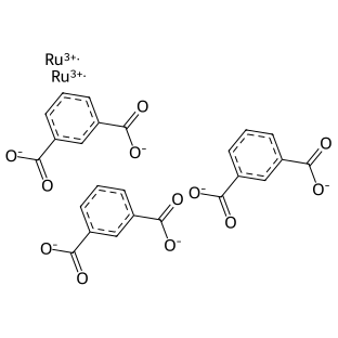 O=C([O-])c1cccc(C(=O)[O-])c1.O=C([O-])c1cccc(C(=O)[O-])c1.O=C([O-])c1cccc(C(=O)[O-])c1.[Ru+3].[Ru+3]